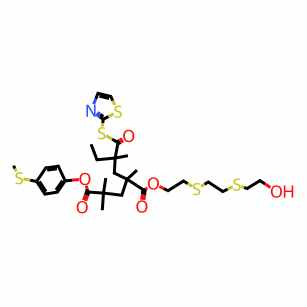 CCC(C)(CC(C)(CC(C)(C)C(=O)Oc1ccc(SC)cc1)C(=O)OCCSCCSCCO)C(=O)Sc1nccs1